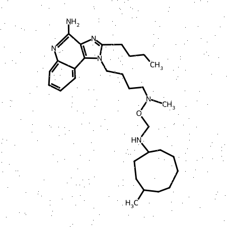 CCCCc1nc2c(N)nc3ccccc3c2n1CCCCN(C)OCNC1CCCCCC(C)CC1